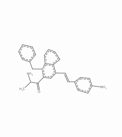 CC(N)C(=O)c1cc(C=Cc2ccc(N)cc2)c2ccccc2[n+]1Cc1ccccc1